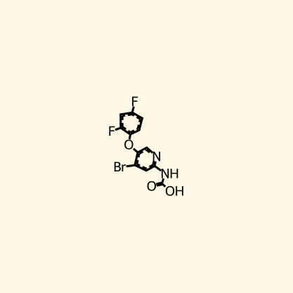 O=C(O)Nc1cc(Br)c(Oc2ccc(F)cc2F)cn1